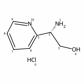 Cl.N[C@H](CO)c1ccccn1